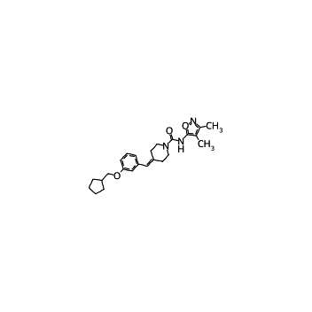 Cc1noc(NC(=O)N2CCC(=Cc3cccc(OCC4CCCC4)c3)CC2)c1C